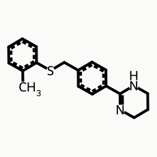 Cc1ccccc1SCc1ccc(C2=NCCCN2)cc1